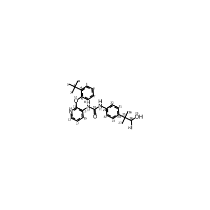 CC(C)(C)c1ccccc1Oc1ncccc1NC(=O)Nc1ccc(C(C)(C)C(O)I)cc1